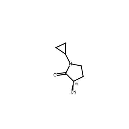 N#C[C@@H]1CCN(C2CC2)C1=O